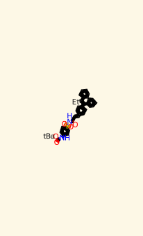 CCC(=C(c1ccccc1)c1ccc(C=CC(=O)NS(=O)(=O)c2ccc(NC(=O)OC(C)(C)C)cc2)cc1)c1ccccc1